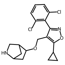 Clc1cccc(Cl)c1-c1noc(C2CC2)c1COC1CC2CC1CN2